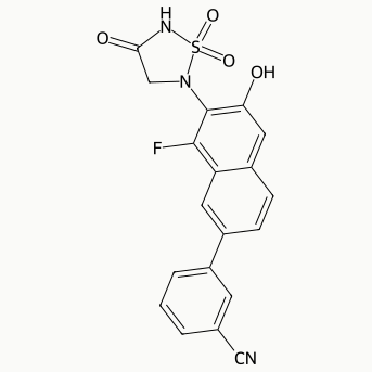 N#Cc1cccc(-c2ccc3cc(O)c(N4CC(=O)NS4(=O)=O)c(F)c3c2)c1